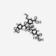 CCCc1cc(C(=O)O)ccc1OC(C(=O)NS(=O)(=O)c1ccc(C(=O)NO)cc1)c1ccc2c(c1)OCO2